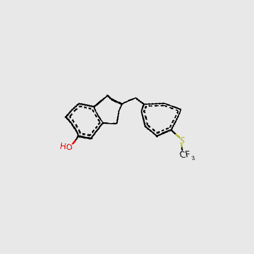 Oc1ccc2c(c1)CC(Cc1ccc(SC(F)(F)F)cc1)C2